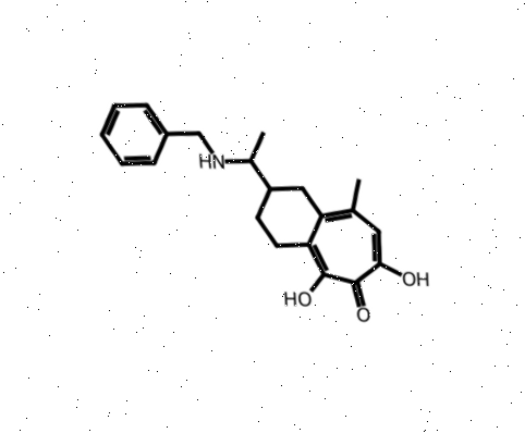 Cc1cc(O)c(=O)c(O)c2c1CC(C(C)NCc1ccccc1)CC2